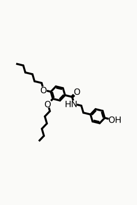 CCCCCCOc1ccc(C(=O)NCCc2ccc(O)cc2)cc1OCCCCCC